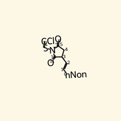 CCCCCCCCC/C=C/C1CC(=O)N(SC(Cl)(Cl)Cl)C1=O